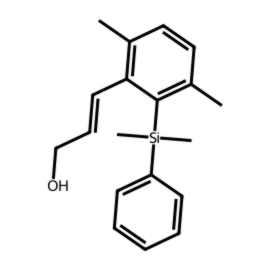 Cc1ccc(C)c([Si](C)(C)c2ccccc2)c1/C=C/CO